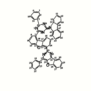 c1ccc(-c2nc(-c3cccc4oc5c(-c6nc(-c7ccccc7)c7oc8ccccc8c7n6)cccc5c34)nc(-n3c4ccccc4c4ccccc43)n2)cc1